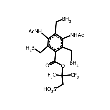 BCc1c(NC(C)=O)c(CB)c(C(=O)OC(CS(=O)(=O)O)(C(F)(F)F)C(F)(F)F)c(CB)c1NC(C)=O